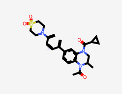 C=C(/C=C\C(=C)N1CCS(=O)(=O)CC1)c1ccc2c(c1)N(C(=O)C1CC1)CC(C)N2C(C)=O